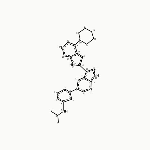 CC(C)Nc1cncc(-c2cnc3[nH]nc(-c4cc5c(N6CCCCC6)cncc5[nH]4)c3c2)c1